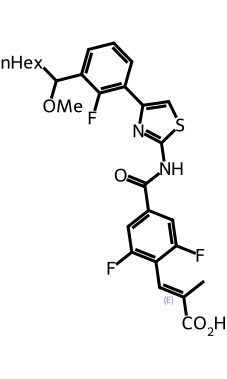 CCCCCCC(OC)c1cccc(-c2csc(NC(=O)c3cc(F)c(/C=C(\C)C(=O)O)c(F)c3)n2)c1F